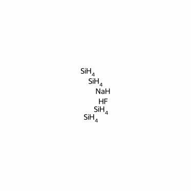 F.[NaH].[SiH4].[SiH4].[SiH4].[SiH4]